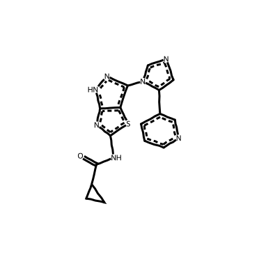 O=C(Nc1nc2[nH]nc(-n3cncc3-c3cccnc3)c2s1)C1CC1